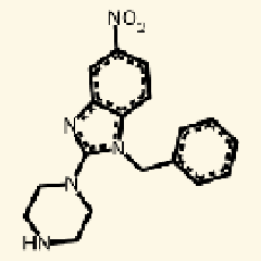 O=[N+]([O-])c1ccc2c(c1)nc(N1CCNCC1)n2Cc1ccccc1